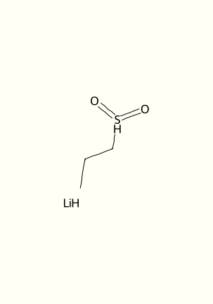 CCC[SH](=O)=O.[LiH]